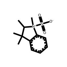 CC1C(C)(C)c2ccccc2[N+]1(C)S(=O)(=O)[O-]